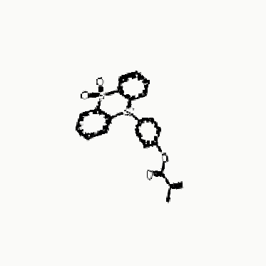 C=C(C)C(=O)Oc1ccc([S+]2c3ccccc3S(=O)(=O)c3ccccc32)cc1